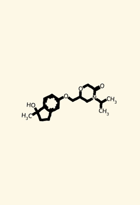 CC(C)N1CC(COc2ccc3c(c2)CCC3(C)O)OCC1=O